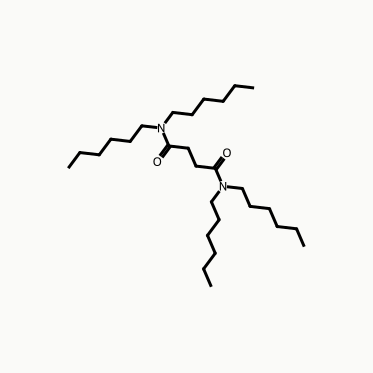 CCCCCCN(CCCCCC)C(=O)CCC(=O)N(CCCCCC)CCCCCC